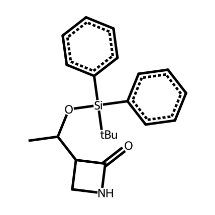 CC(O[Si](c1ccccc1)(c1ccccc1)C(C)(C)C)C1CNC1=O